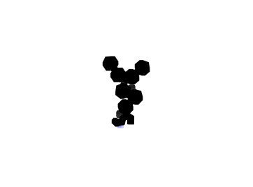 C=CC1c2cc(-c3cccc4oc5c(-n6c7ccc(-c8ccccc8)cc7c7cc(-c8ccccc8)ccc76)cccc5c34)ccc2OC1/C=C\C